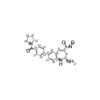 NC1CC(C(=O)N=O)=Cc2cc(-c3ccc(C(=O)N4CCCC4)cc3)ccc2N1